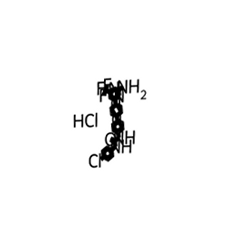 Cl.Nc1nc(N2CCN(c3ccc(NC(=O)Nc4ccc(Cl)cc4)cc3)CC2)cc(C(F)(F)F)n1